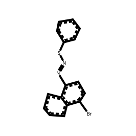 Brc1ccc(/N=N/Sc2ccccc2)c2ccccc12